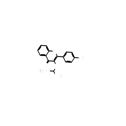 Cc1ccc(-c2oc3ccccc3c(=O)c2OC(C)C)cc1